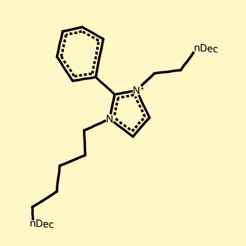 CCCCCCCCCCCCCCCn1cc[n+](CCCCCCCCCCCC)c1-c1ccccc1